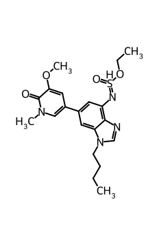 CCCCn1cnc2c(N=[SH](=O)OCC)cc(-c3cc(OC)c(=O)n(C)c3)cc21